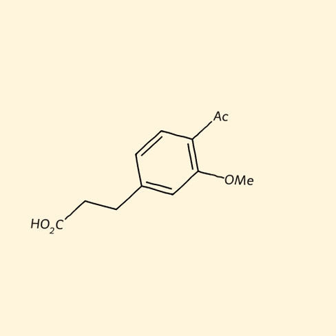 COc1cc(CCC(=O)O)ccc1C(C)=O